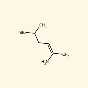 CCCCC(C)C/C=C(/C)N